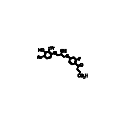 CCCc1c(OCC(O)CSc2ccc(C(=O)CCC(=O)O)c(F)c2)ccc(C(C)=O)c1O